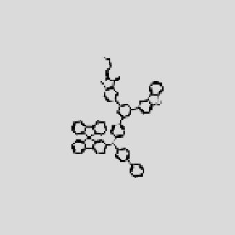 C=c1/c(=C\C=C/C)sc2ccc(-c3cc(-c4ccc(N(c5ccc(-c6ccccc6)cc5)c5ccc6c(c5)C5(c7ccccc7-c7ccccc75)c5ccccc5-6)cc4)cc(-c4ccc5oc6ccccc6c5c4)c3)cc12